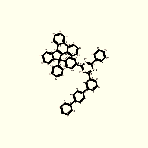 c1ccc(-c2ccc(-c3cccc(-c4nc(-c5ccccc5)nc(-c5ccc(C6(c7ccccc7)c7ccccc7-c7c6c6ccccc6c6ccccc76)cc5)n4)c3)cc2)cc1